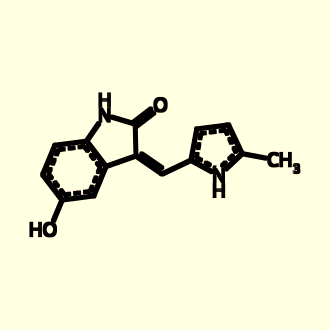 Cc1ccc(C=C2C(=O)Nc3ccc(O)cc32)[nH]1